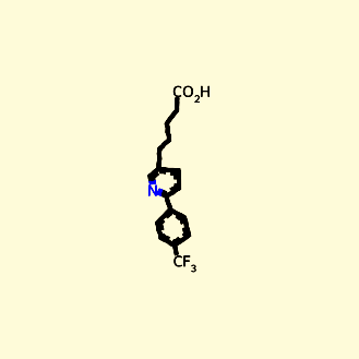 O=C(O)CCCCc1ccc(-c2ccc(C(F)(F)F)cc2)nc1